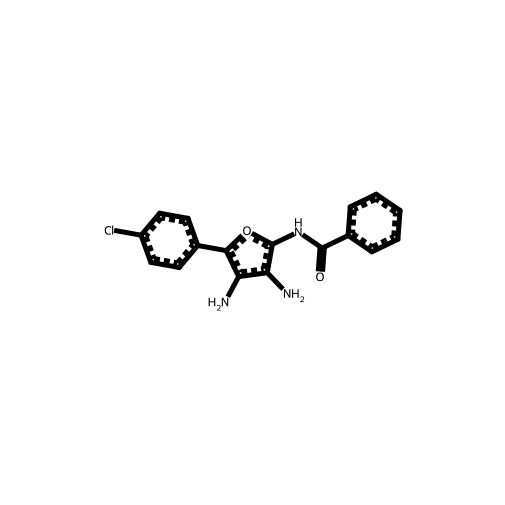 Nc1c(NC(=O)c2ccccc2)oc(-c2ccc(Cl)cc2)c1N